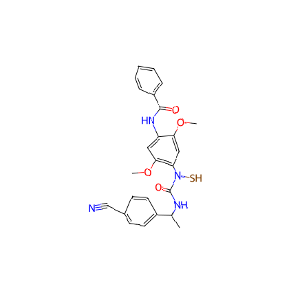 COc1cc(N(S)C(=O)NC(C)c2ccc(C#N)cc2)c(OC)cc1NC(=O)c1ccccc1